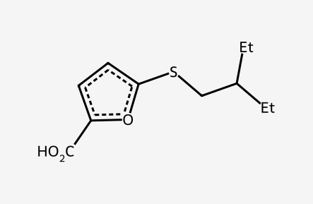 CCC(CC)CSc1ccc(C(=O)O)o1